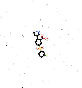 O=C(O)c1cc(S(=O)(=O)c2cccc(F)c2)ccc1C1CCNC1